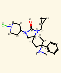 CN(C)[C@]1(c2ccccc2)CC[C@]2(CC1)CN(C1CCN(Cl)CC1)C(=O)N2CC1CC1